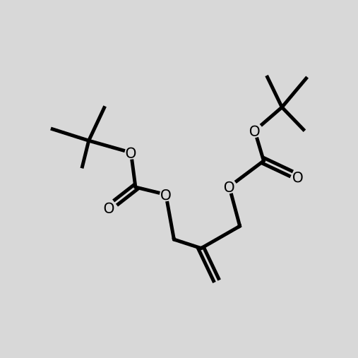 C=C(COC(=O)OC(C)(C)C)COC(=O)OC(C)(C)C